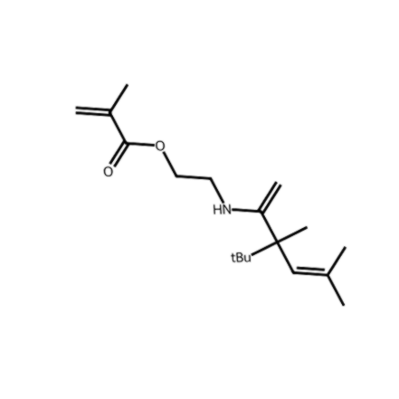 C=C(C)C(=O)OCCNC(=C)C(C)(C=C(C)C)C(C)(C)C